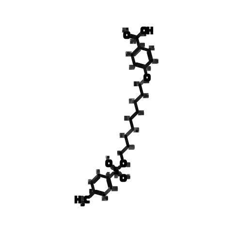 Cc1ccc(S(=O)(=O)OCCCCCCCCCOc2ccc(C(=O)O)cc2)cc1